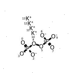 O=P([O-])([O-])OOP(=O)([O-])[O-].[K+].[K+].[K+].[K+]